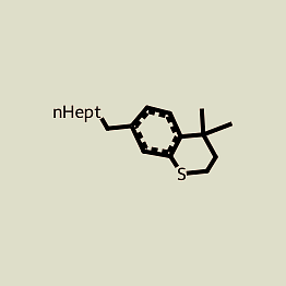 CCCCCCCCc1ccc2c(c1)SCCC2(C)C